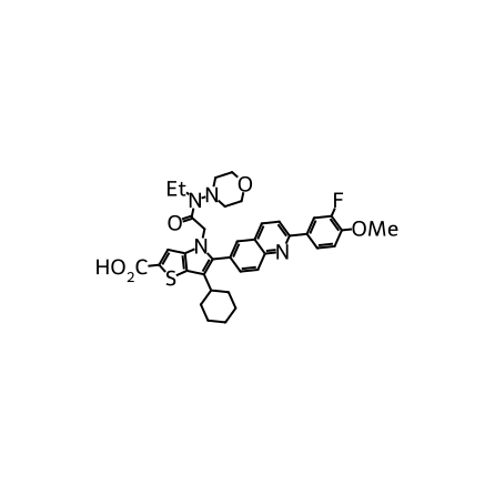 CCN(C(=O)Cn1c(-c2ccc3nc(-c4ccc(OC)c(F)c4)ccc3c2)c(C2CCCCC2)c2sc(C(=O)O)cc21)N1CCOCC1